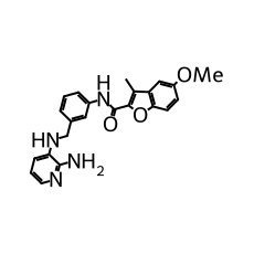 COc1ccc2oc(C(=O)Nc3cccc(CNc4cccnc4N)c3)c(C)c2c1